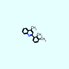 Cc1cccc(-c2cc(C)c3ccccc3n2)c1C